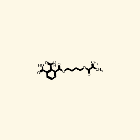 C=C(C)C(=O)OCCCCOC(=O)c1cccc(C(=O)O)c1C(=O)O